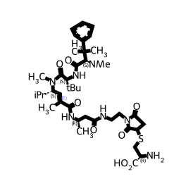 CN[C@H](C(=O)N[C@H](C(=O)N(C)[C@H](/C=C(\C)C(=O)N[C@H](C)CC(=O)NCCN1C(=O)CC(SC[C@H](N)C(=O)O)C1=O)C(C)C)C(C)(C)C)C(C)(C)c1ccccc1